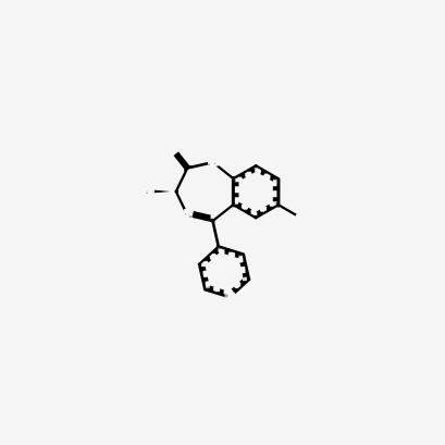 CCC(C)[C@@H]1N=C(c2ccncc2)c2cc(Cl)ccc2NC1=O